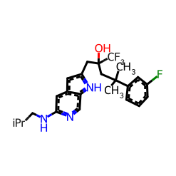 CC(C)CNc1cc2cc(CC(O)(CC(C)(C)c3cccc(F)c3)C(F)(F)F)[nH]c2cn1